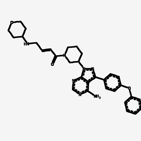 Nc1ncnc2c1c(-c1ccc(Oc3ccccc3)cc1)nn2C1CCCN(C(=O)C=CCNC2CCOCC2)C1